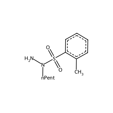 CCCCCN(N)S(=O)(=O)c1ccccc1C